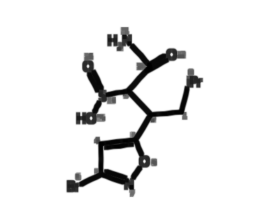 CC(C)CC(c1cc(Br)no1)C(C(N)=O)S(=O)O